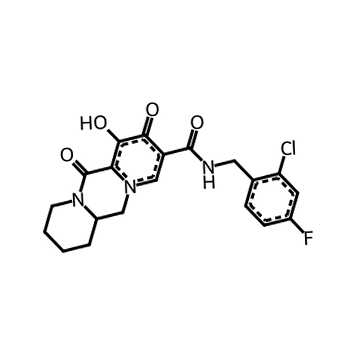 O=C(NCc1ccc(F)cc1Cl)c1cn2c(c(O)c1=O)C(=O)N1CCCCC1C2